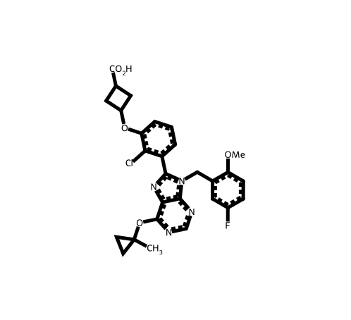 COc1ccc(F)cc1Cn1c(-c2cccc(OC3CC(C(=O)O)C3)c2Cl)nc2c(OC3(C)CC3)ncnc21